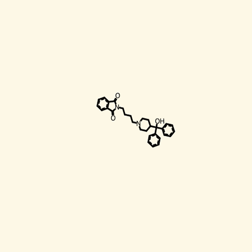 O=C1c2ccccc2C(=O)N1CCCCN1CCC(C(O)(c2ccccc2)c2ccccc2)CC1